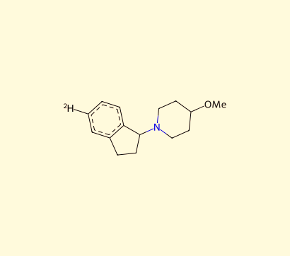 [2H]c1ccc2c(c1)CCC2N1CCC(OC)CC1